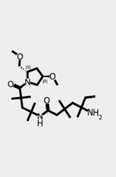 CCC(C)(N)CC(C)(C)CC(=O)NC(C)(C)CC(C)(C)C(=O)N1C[C@H](OC)C[C@H]1COC